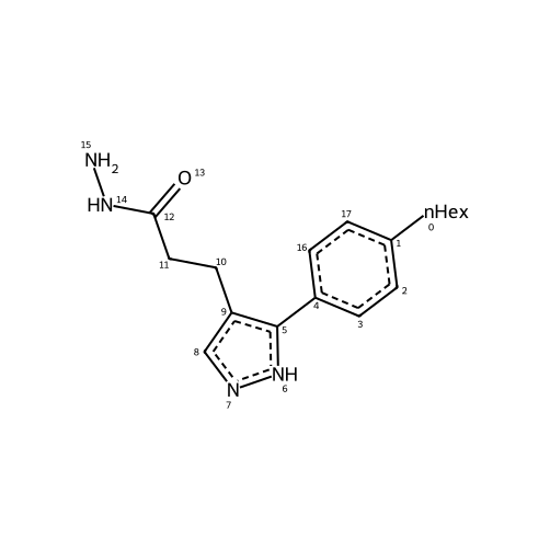 CCCCCCc1ccc(-c2[nH]ncc2CCC(=O)NN)cc1